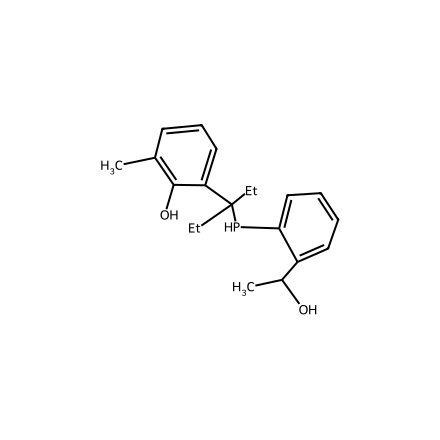 CCC(CC)(Pc1ccccc1C(C)O)c1cccc(C)c1O